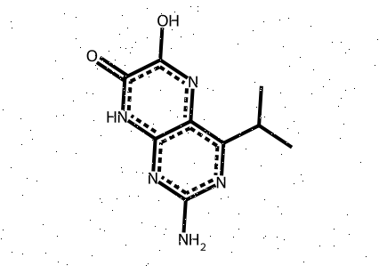 CC(C)c1nc(N)nc2[nH]c(=O)c(O)nc12